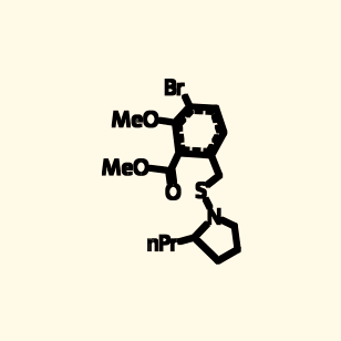 CCCC1CCCN1SCc1ccc(Br)c(OC)c1C(=O)OC